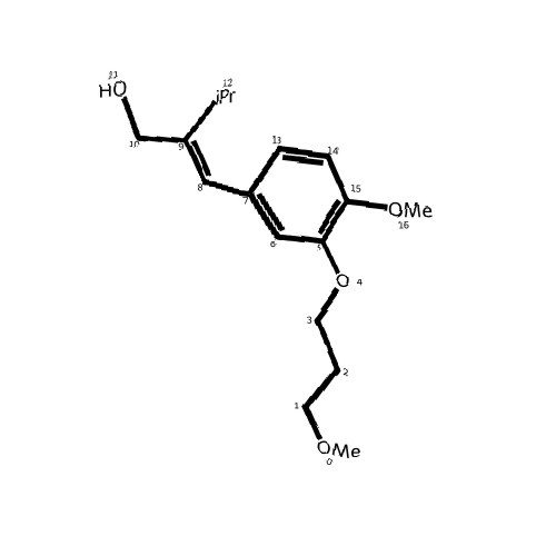 COCCCOc1cc(/C=C(/CO)C(C)C)ccc1OC